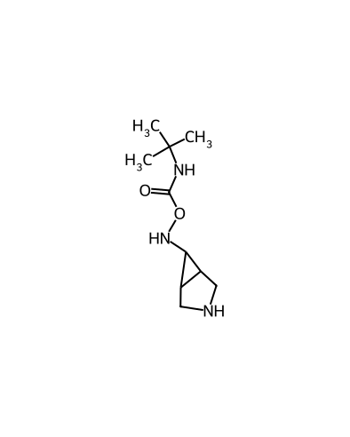 CC(C)(C)NC(=O)ONC1C2CNCC21